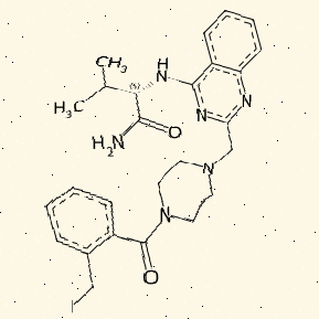 CC(C)[C@H](Nc1nc(CN2CCN(C(=O)c3ccccc3CI)CC2)nc2ccccc12)C(N)=O